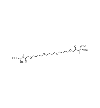 CC(C)(C)C(C=O)NC(=O)COCCCCOCCCCOCCCCOCC(=O)NC(C=O)C(C)(C)C